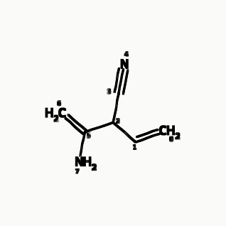 C=CC(C#N)C(=C)N